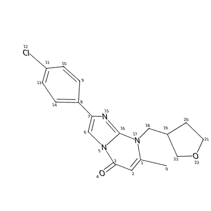 Cc1cc(=O)n2cc(-c3ccc(Cl)cc3)nc2n1CC1CCOC1